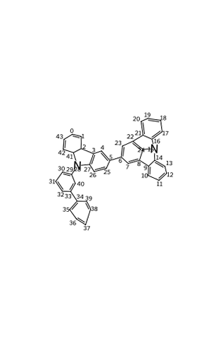 C1=CC2c3cc(-c4cc5c6ccccc6n6c7ccccc7c(c4)c56)ccc3N(c3cccc(-c4ccccc4)c3)C2C=C1